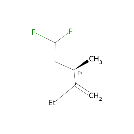 C=C(CC)[C@H](C)CC(F)F